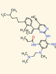 C#Cc1cnc(Nc2cc(NC(=O)C=C)c(N(C)CCN(C)C)cc2NC)nc1/C(=C/C)c1cccc(CCCC(C)C)c1C